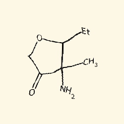 CCC1OCC(=O)C1(C)N